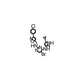 Clc1ccc(-c2cc(CNc3ncc(Br)c(Nc4cc(C5CC5)[nH]n4)n3)on2)cc1